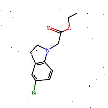 CCOC(=O)CN1CCc2cc(Br)ccc21